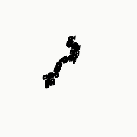 O=C1CCN(c2cc(C(=O)N3CCC4(CCC(CN5CCC(n6cc(NC(=O)c7cnn8ccc(N9CCC[C@H](O)C9)nc78)c(C(F)F)n6)CC5)CC4)CC3)ccc2Cl)C(=O)N1